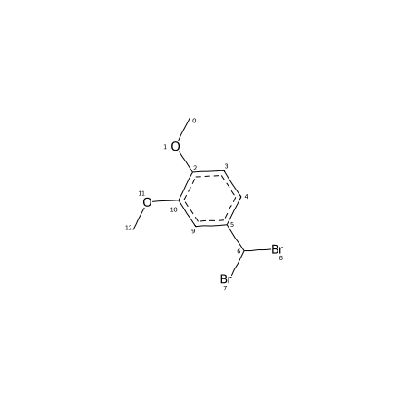 COc1ccc(C(Br)Br)cc1OC